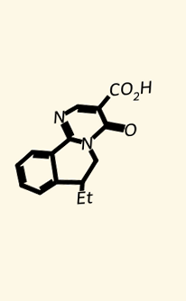 CCC1Cn2c(ncc(C(=O)O)c2=O)-c2ccccc21